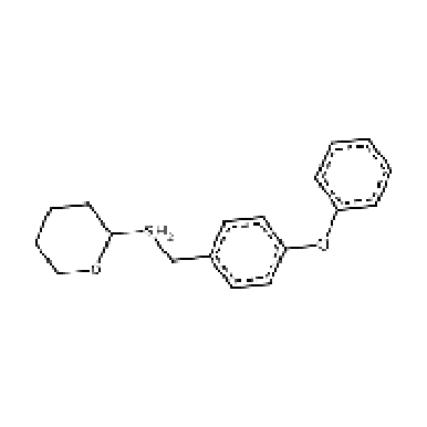 c1ccc(Oc2ccc(C[SiH2]C3CCCCO3)cc2)cc1